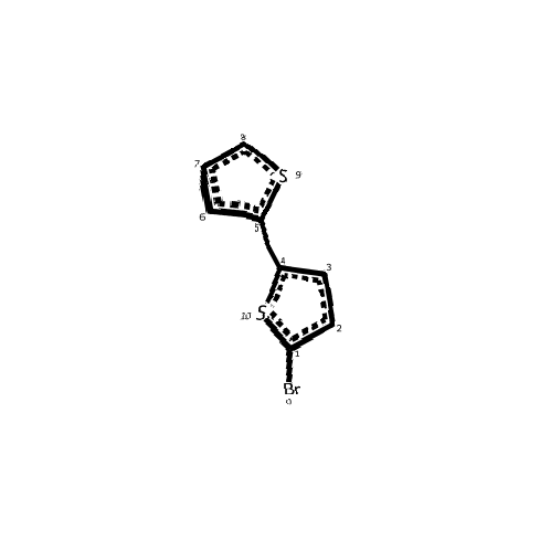 Brc1ccc(-c2cccs2)s1